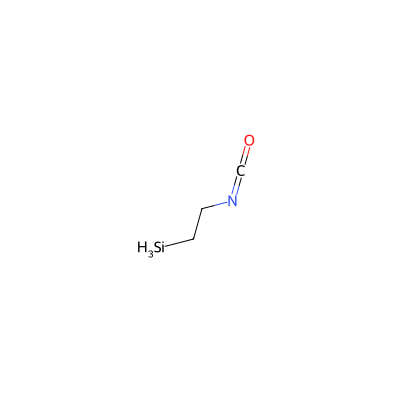 O=C=NCC[SiH3]